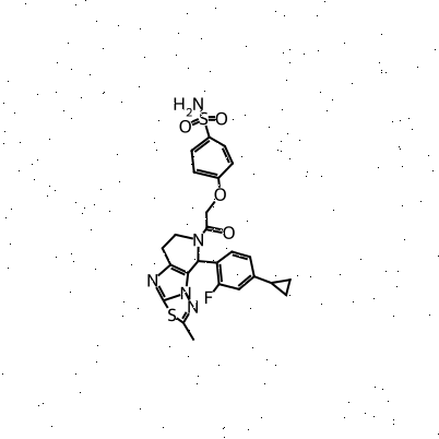 Cc1nn2c3c(nc2s1)CCN(C(=O)COc1ccc(S(N)(=O)=O)cc1)C3c1ccc(C2CC2)cc1F